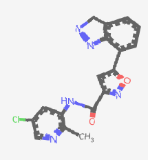 Cc1ncc(Cl)cc1NC(=O)c1cc(-c2cccc3c2N=NC3)on1